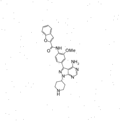 COc1cc(-c2nn(C3CCNCC3)c3ncnc(N)c23)ccc1NC(=O)c1cc2ccccc2o1